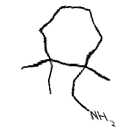 CC1(C)CCCCC1(C)CN